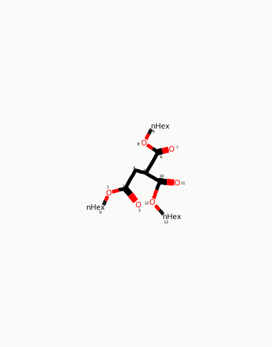 CCCCCCOC(=O)C[C](C(=O)OCCCCCC)C(=O)OCCCCCC